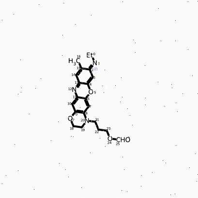 CC/N=c1/cc2oc3cc4c(cc3nc-2cc1C)OCCN4CCCOC=O